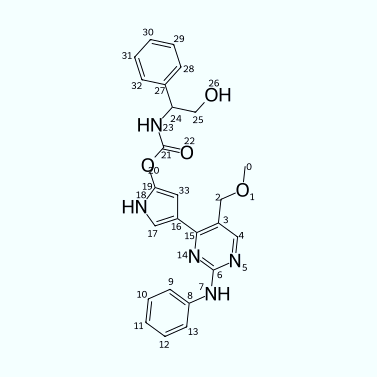 COCc1cnc(Nc2ccccc2)nc1-c1c[nH]c(OC(=O)NC(CO)c2ccccc2)c1